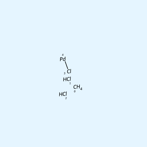 C.Cl.Cl.[Cl][Pd]